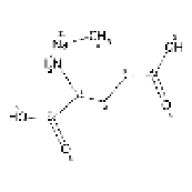 NC(CCC(=O)O)C(=O)O.[CH3][Na]